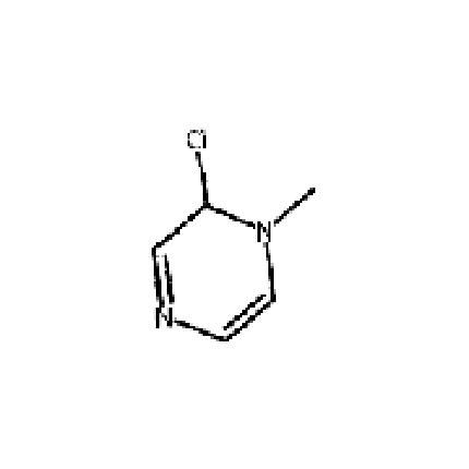 CN1C=CN=CC1Cl